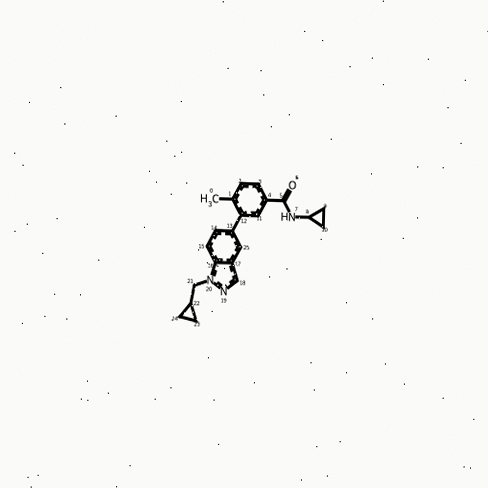 Cc1ccc(C(=O)NC2CC2)cc1-c1ccc2c(cnn2CC2CC2)c1